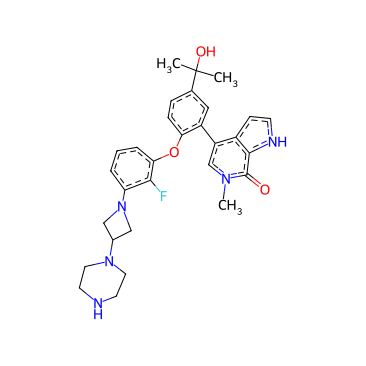 Cn1cc(-c2cc(C(C)(C)O)ccc2Oc2cccc(N3CC(N4CCNCC4)C3)c2F)c2cc[nH]c2c1=O